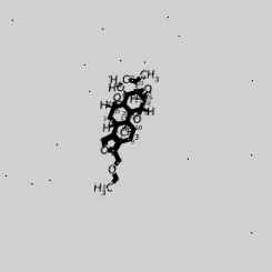 CCOCc1occ2c1CC[C@@]1(C)[C@H]2C[C@@H]2O[C@@]23[C@H](O)[C@@]2(C(C)C)O[C@H]2[C@@H]2O[C@@]231